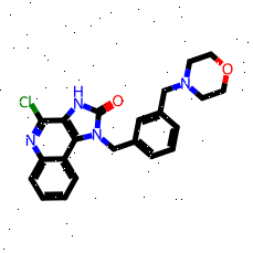 O=c1[nH]c2c(Cl)nc3ccccc3c2n1Cc1cccc(CN2CCOCC2)c1